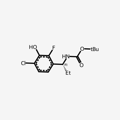 CC[C@@H](NC(=O)OC(C)(C)C)c1ccc(Cl)c(O)c1F